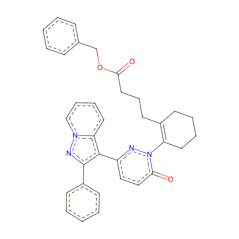 O=C(CCCC1=C(n2nc(-c3c(-c4ccccc4)nn4ccccc34)ccc2=O)CCCC1)OCc1ccccc1